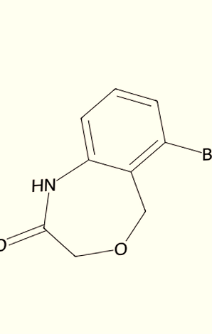 O=C1COCc2c(Br)cccc2N1